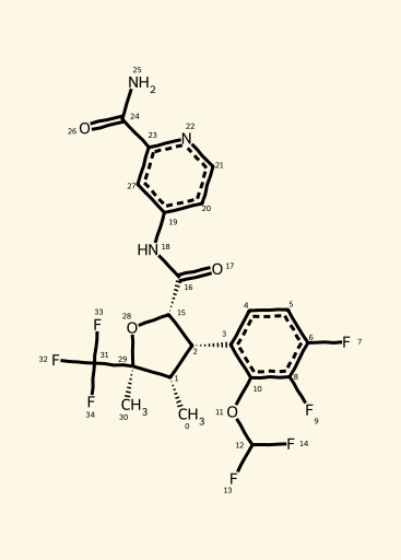 C[C@H]1[C@@H](c2ccc(F)c(F)c2OC(F)F)[C@@H](C(=O)Nc2ccnc(C(N)=O)c2)O[C@]1(C)C(F)(F)F